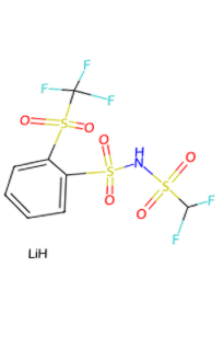 O=S(=O)(NS(=O)(=O)C(F)F)c1ccccc1S(=O)(=O)C(F)(F)F.[LiH]